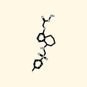 CC(C)(C)OC(=O)COc1cccc2c1CCCCC2NCS(=O)(=O)c1ccc(I)cc1